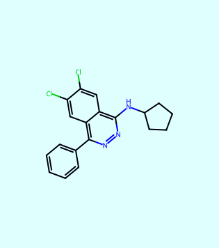 Clc1cc2c(NC3CCCC3)nnc(-c3ccccc3)c2cc1Cl